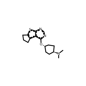 CN(C)[C@H]1CC[C@H](Oc2ncnc3sc4c(c23)CCC4)CC1